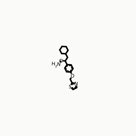 NOC(CC1CCCCC1)c1ccc(OCc2nccs2)cc1